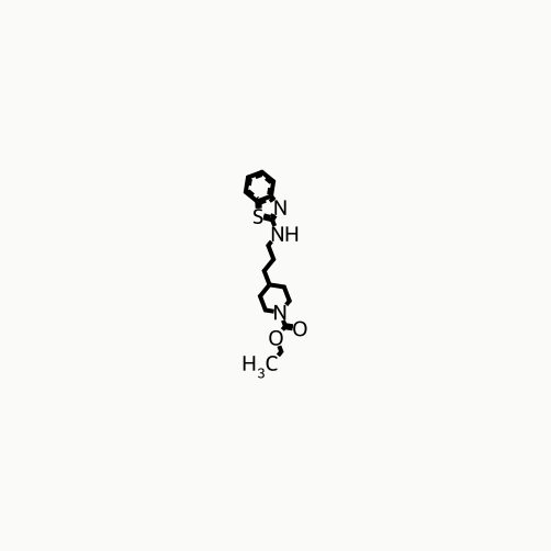 CCOC(=O)N1CCC(CCCNc2nc3ccccc3s2)CC1